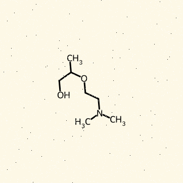 CC(CO)OCCN(C)C